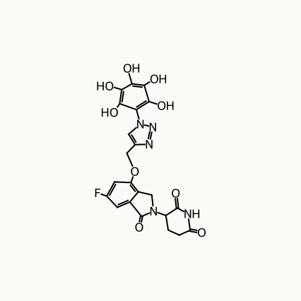 O=C1CCC(N2Cc3c(OCc4cn(-c5c(O)c(O)c(O)c(O)c5O)nn4)cc(F)cc3C2=O)C(=O)N1